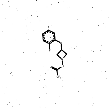 O=C(ON1CC(Oc2ccccc2F)C1)C(F)(F)F